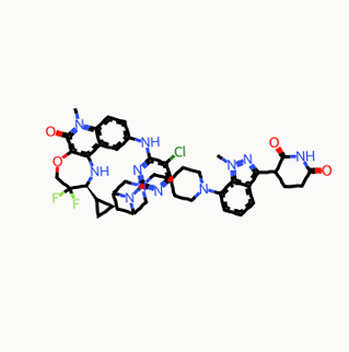 Cn1nc(C2CCC(=O)NC2=O)c2cccc(N3CCC(CN4CC5CC(C4)N5c4ncc(Cl)c(Nc5ccc6c(c5)c5c(c(=O)n6C)OCC(F)(F)[C@H](C6CC6)N5)n4)CC3)c21